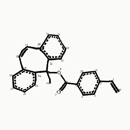 C=Cc1ccc(C(=O)OC2(C)c3ccccc3C=Cc3ccccc32)cc1